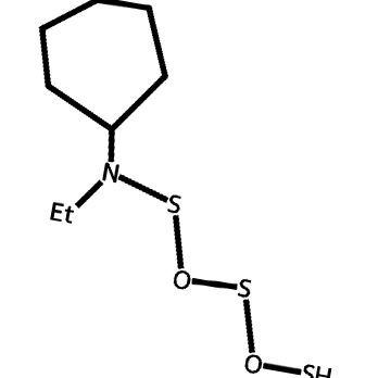 CCN(SOSOS)C1CCCCC1